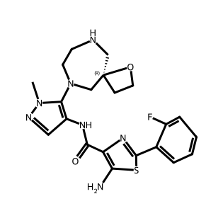 Cn1ncc(NC(=O)c2nc(-c3ccccc3F)sc2N)c1N1CCNC[C@]2(CCO2)C1